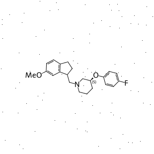 COc1ccc2c(c1)C(CN1CCC[C@H](Oc3ccc(F)cc3)C1)CC2